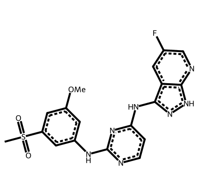 COc1cc(Nc2nccc(Nc3n[nH]c4ncc(F)cc34)n2)cc(S(C)(=O)=O)c1